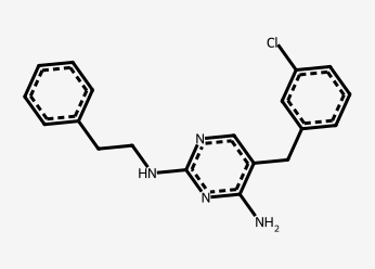 Nc1nc(NCCc2ccccc2)ncc1Cc1cccc(Cl)c1